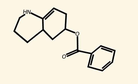 O=C(OC1CC=C2NCCCC2C1)c1ccccc1